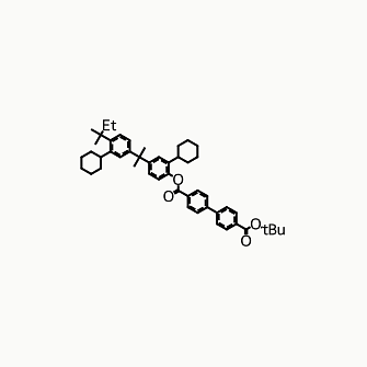 CCC(C)(C)c1ccc(C(C)(C)c2ccc(OC(=O)c3ccc(-c4ccc(C(=O)OC(C)(C)C)cc4)cc3)c(C3CCCCC3)c2)cc1C1CCCCC1